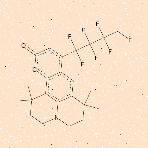 CC1(C)CCN2CCC(C)(C)c3c2c1cc1c(C(F)(F)C(F)(F)C(F)(F)CF)cc(=O)oc31